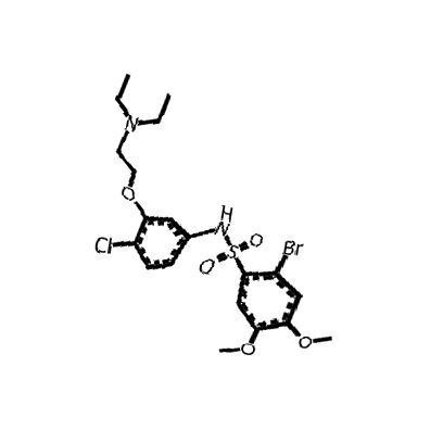 CCN(CC)CCOc1cc(NS(=O)(=O)c2cc(OC)c(OC)cc2Br)ccc1Cl